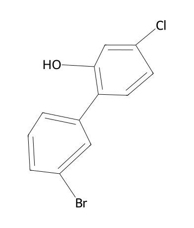 Oc1cc(Cl)ccc1-c1cccc(Br)c1